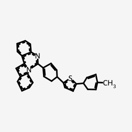 CC1=CCC(c2ccc(C3C=CC(c4nc5ccccc5c5cc6ccccc6n45)=CC3)s2)C=C1